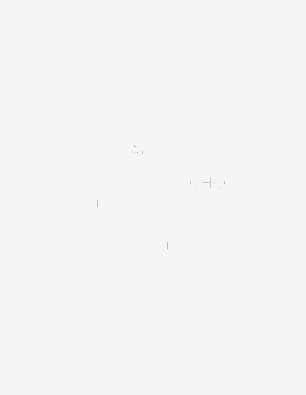 CCCC([C]=O)(CCC)C(C)=O